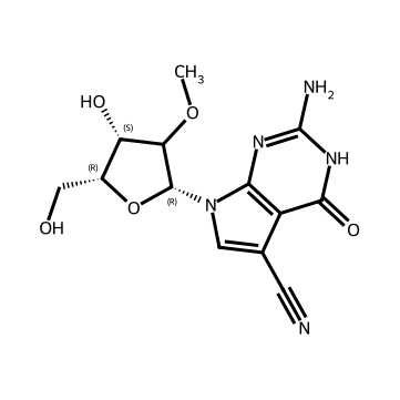 COC1[C@@H](O)[C@@H](CO)O[C@H]1n1cc(C#N)c2c(=O)[nH]c(N)nc21